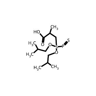 CC(C)COS(CC(C)C(=O)O)(OCC(C)C)P=S